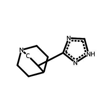 c1nc(C2CN3CCC2CC3)n[nH]1